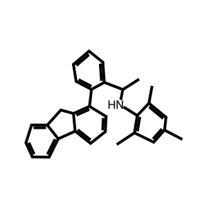 Cc1cc(C)c(NC(C)c2ccccc2-c2cccc3c2Cc2ccccc2-3)c(C)c1